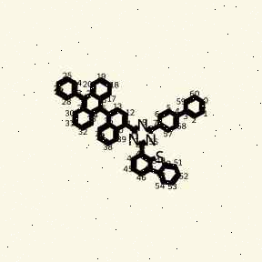 c1ccc(-c2ccc(-c3nc(-c4ccc(-c5c6ccccc6c(-c6ccccc6)c6ccccc56)c5ccccc45)nc(-c4cccc5c4sc4ccccc45)n3)cc2)cc1